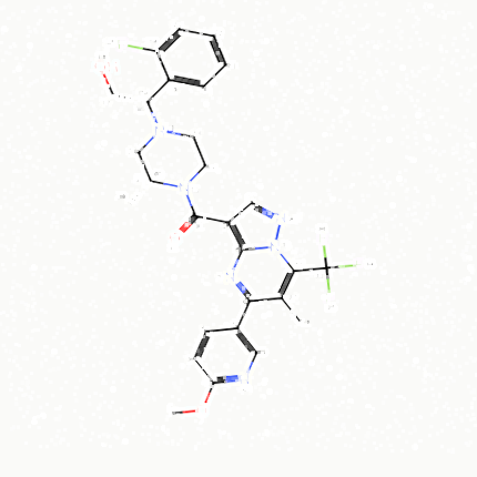 COc1ccc(-c2nc3c(C(=O)N4CCN([C@H](CO)c5ccccc5F)C[C@H]4C)cnn3c(C(F)(F)F)c2C)cn1